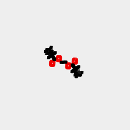 [CH3][Sb]([CH3])[C](C)(C)C(=O)OCCOC(=O)[C](C)(C)[Sb]([CH3])[CH3]